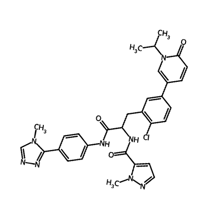 CC(C)n1cc(-c2ccc(Cl)c(CC(NC(=O)c3ccnn3C)C(=O)Nc3ccc(-c4nncn4C)cc3)c2)ccc1=O